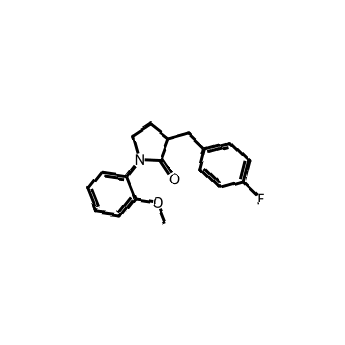 COc1ccccc1N1CCC(Cc2ccc(F)cc2)C1=O